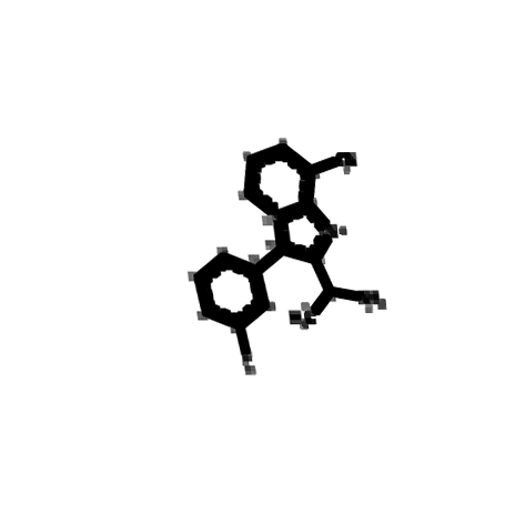 CC(N)c1nc2c(C#N)cccn2c1-c1cccc(F)c1